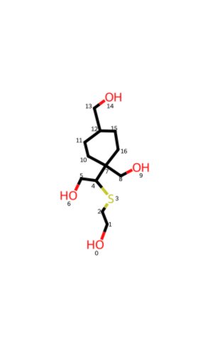 OCCSC(CO)C1(CO)CCC(CO)CC1